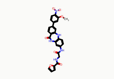 COc1cc(-c2ccc3c(c2)Nc2ccc(NC(=O)CNC(=O)c4ccco4)cc2NC3=O)ccc1[N+](=O)[O-]